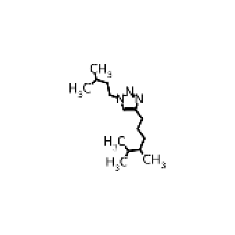 CC(C)CCn1cc(CCCC(C)C(C)C)nn1